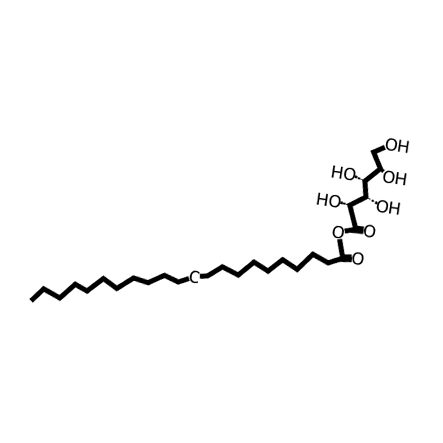 CCCCCCCCCCCCCCCCCCCCCC(=O)OC(=O)[C@H](O)[C@@H](O)[C@H](O)[C@H](O)CO